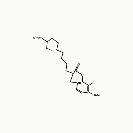 CCCCCC1CCC(CCCCC2Cc3ccc(OC)c(F)c3OC2=O)CC1